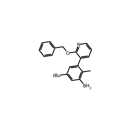 Bc1cc(C(C)(C)C)cc(-c2cccnc2OCc2ccccc2)c1C